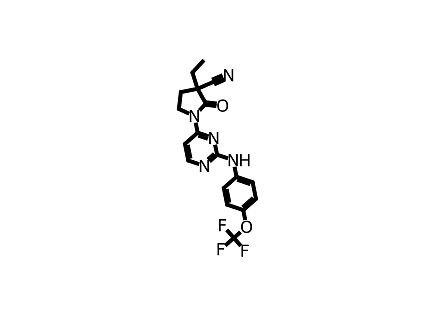 CCC1(C#N)CCN(c2ccnc(Nc3ccc(OC(F)(F)F)cc3)n2)C1=O